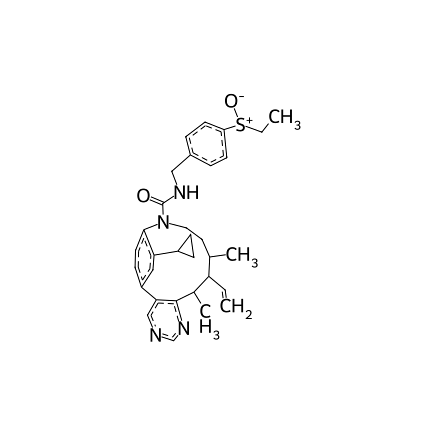 C=CC1C(C)CCN(C(=O)NCc2ccc([S+]([O-])CC)cc2)c2ccc(cc2C2CC2)-c2cncnc2C1C